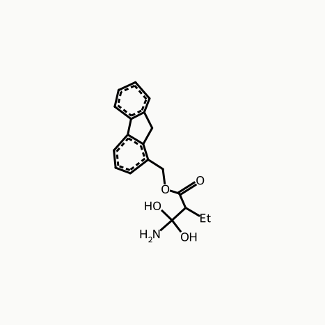 CCC(C(=O)OCc1cccc2c1Cc1ccccc1-2)C(N)(O)O